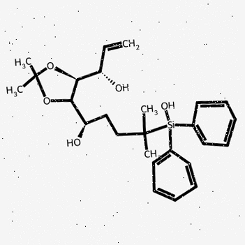 C=C[C@H](O)[C@@H]1OC(C)(C)OC1[C@H](O)CCC(C)(C)[Si](O)(c1ccccc1)c1ccccc1